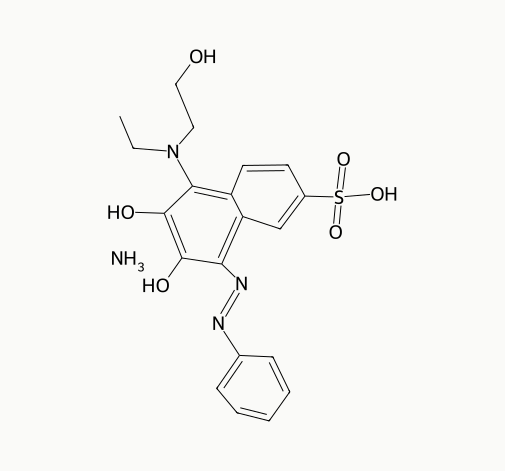 CCN(CCO)c1c(O)c(O)c(N=Nc2ccccc2)c2cc(S(=O)(=O)O)ccc12.N